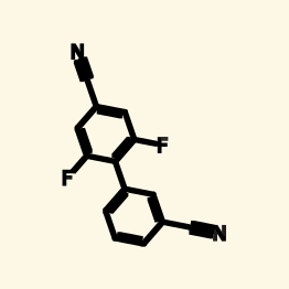 N#Cc1cccc(-c2c(F)cc(C#N)cc2F)c1